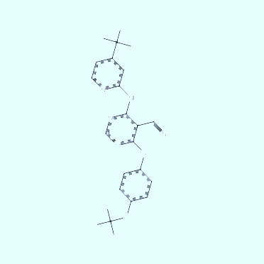 N=Cc1c(Nc2ccc(OC(F)(F)F)cc2)ncnc1Nc1cc(C(F)(F)F)ccn1